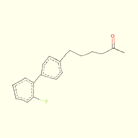 CC(=O)CCCCc1ccc(-c2ccccc2F)cc1